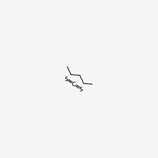 CCCCC.S=C=S